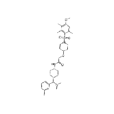 COc1cc(C)c(S(=O)(=O)N2CCC(OCC(=O)NC3CCC(C(c4cccc(F)c4)N(C)C)CC3)CC2)c(C)c1C